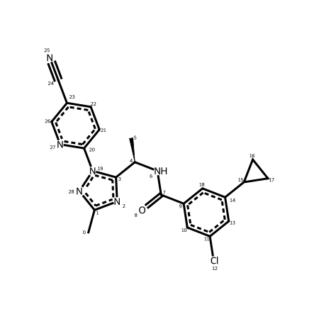 Cc1nc([C@@H](C)NC(=O)c2cc(Cl)cc(C3CC3)c2)n(-c2ccc(C#N)cn2)n1